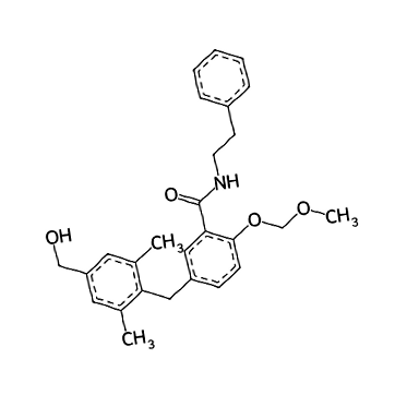 COCOc1ccc(Cc2c(C)cc(CO)cc2C)cc1C(=O)NCCc1ccccc1